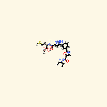 CCC(CC)NC(=O)c1cnc(-c2cccc(-c3cc(C(=O)N[C@H](CCSC)C(=O)OC)n[nH]3)c2)o1